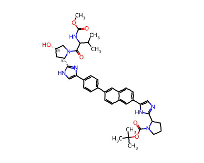 COC(=O)NC(C(=O)N1C[C@@H](O)C[C@H]1c1nc(-c2ccc(-c3ccc4cc(-c5cnc(C6CCCN6C(=O)OC(C)(C)C)[nH]5)ccc4c3)cc2)c[nH]1)C(C)C